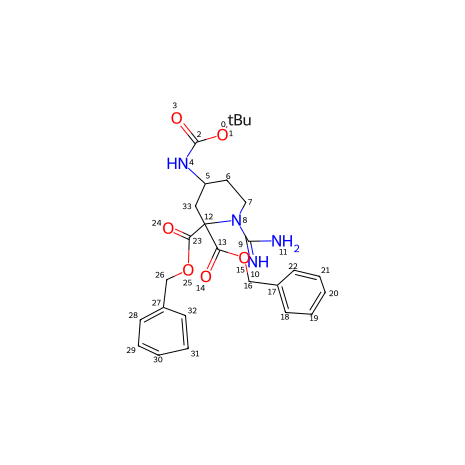 CC(C)(C)OC(=O)NC1CCN(C(=N)N)C(C(=O)OCc2ccccc2)(C(=O)OCc2ccccc2)C1